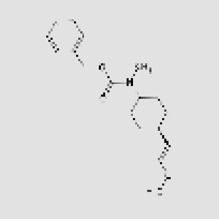 CO/C=C/[C@H]1CC[C@H](N(C)C(=O)OCc2ccccc2)CC1